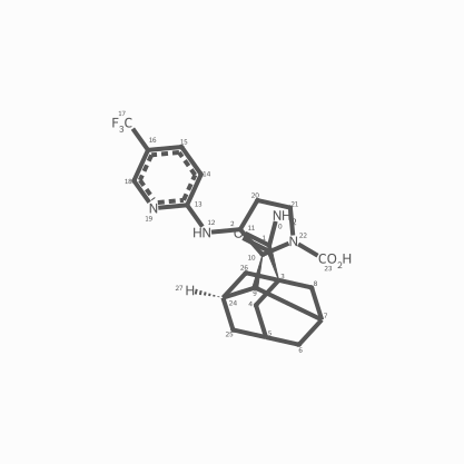 NC(=O)[C@]12CC3CC(C1)C([C@H]1C(Nc4ccc(C(F)(F)F)cn4)CCN1C(=O)O)[C@@H](C3)C2